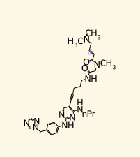 CCCNc1nc(Nc2ccc(Cn3cncn3)cc2)ncc1C#CCCCNC(=O)CN(C)C(=O)/C=C/CN(C)C